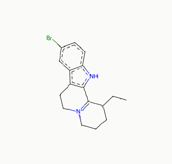 CCC1CCC[N+]2=C1c1[nH]c3ccc(Br)cc3c1CC2